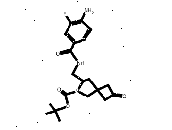 CC(C)(C)OC(=O)N1CC2(CC(=O)C2)CC1CNC(=O)c1ccc(N)c(F)c1